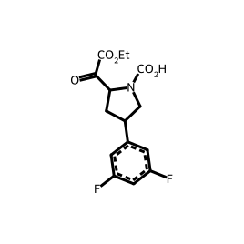 CCOC(=O)C(=O)C1CC(c2cc(F)cc(F)c2)CN1C(=O)O